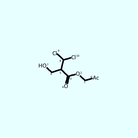 CC(=O)COC(=O)C(CO)C(Cl)Cl